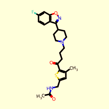 CC(=O)NCc1cc(C)c(C(=O)CCCN2CCC(c3noc4cc(F)ccc34)CC2)s1